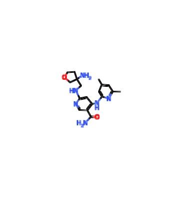 Cc1cc(C)nc(Nc2cc(NCC3(N)CCOC3)ncc2C(N)=O)c1